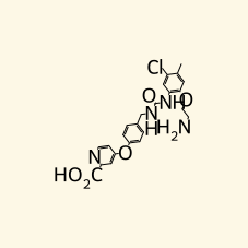 Cc1cc(OCCN)c(NC(=O)NCc2ccc(Oc3ccnc(C(=O)O)c3)cc2)cc1Cl